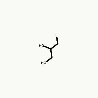 O[CH]C(O)[CH]F